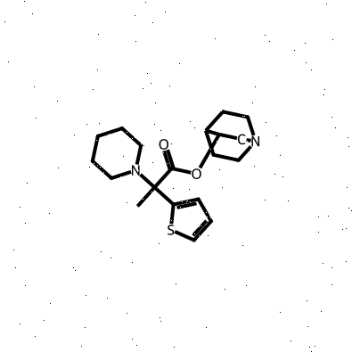 CC(C(=O)OC1CN2CCC1CC2)(c1cccs1)N1CCCCC1